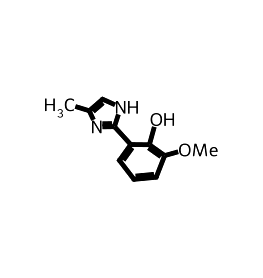 COc1cccc(-c2nc(C)c[nH]2)c1O